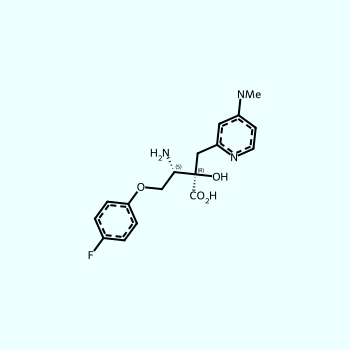 CNc1ccnc(C[C@](O)(C(=O)O)[C@@H](N)COc2ccc(F)cc2)c1